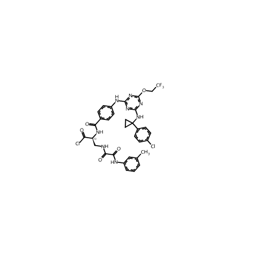 Cc1cccc(NC(=O)C(=O)NC[C@H](NC(=O)c2ccc(Nc3nc(NC4(c5ccc(Cl)cc5)CC4)nc(OCC(F)(F)F)n3)cc2)C(=O)Cl)c1